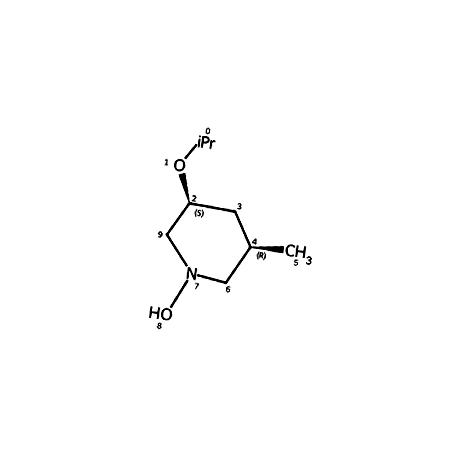 CC(C)O[C@H]1C[C@@H](C)CN(O)C1